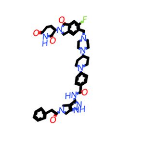 O=C1CCC(N2Cc3cc(CN4CCN(C5CCN(c6ccc(C(=O)Nc7n[nH]c8c7CN(C(=O)Cc7ccccc7)C8)cc6)CC5)CC4)c(F)cc3C2=O)C(=O)N1